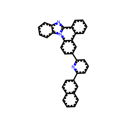 c1cc(-c2ccc3ccccc3c2)nc(-c2ccc3c(c2)c2ccccc2c2nc4ccccc4n32)c1